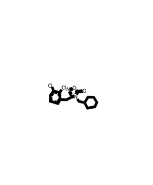 O=c1onc(Cc2cccc(Cl)c2Cl)n1CC1CCCCC1